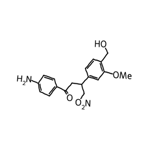 COc1cc(C(CC(=O)c2ccc(N)cc2)C[N+](=O)[O-])ccc1CO